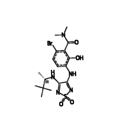 C[C@H](NC1=NS(=O)(=O)N=C1Nc1ccc(Br)c(C(=O)N(C)C)c1O)C(C)(C)C